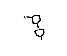 NC1CCCC(N2CCNCC2)C1